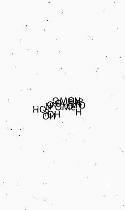 COc1cc(-c2cc(-c3cc(CO)c(CO)c(CO)c3)no2)cc(OC)c1OCCCCCCOc1ccc(C2NC(=O)c3ccccc3N2)cc1CO